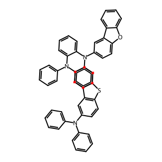 c1ccc(N(c2ccccc2)c2ccc3sc4cc(N(c5ccc6oc7ccccc7c6c5)c5ccccc5N(c5ccccc5)c5ccccc5)ccc4c3c2)cc1